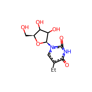 CCc1cn([C@H]2O[C@@H](CO)C(O)C2O)c(=O)[nH]c1=O